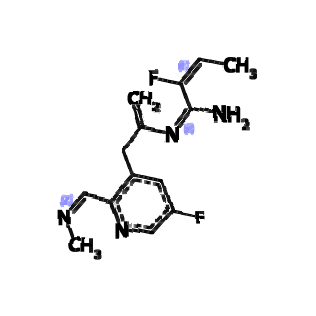 C=C(Cc1cc(F)cnc1/C=N\C)/N=C(N)\C(F)=C/C